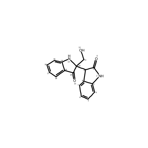 O=C1Nc2ccccc2C1C1(CO)Nc2ccccc2C1=O